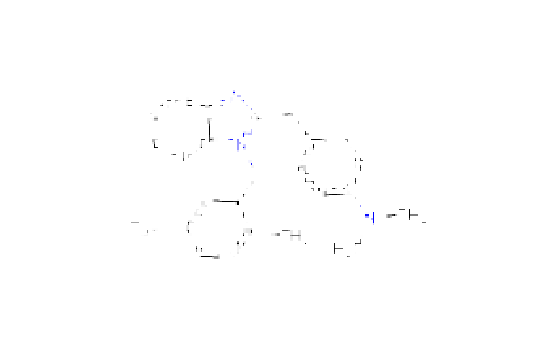 Cc1ccc(C)c(Cn2c(Cc3ccc(N(C)C)cc3)nc3ccccc32)c1